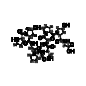 O=C(O)CNC(=O)[C@@H]1C[C@@H](O)CN1C(=O)[C@@H]1CCCN1C(=O)CNC(=O)[C@H](CS)NC(=O)[C@@H]1CCCN1C(=O)CNC(=O)[C@@H]1C[C@@H](O)CN1C(=O)[C@@H]1CCCN1